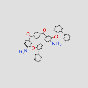 Nc1ccc(C(=O)c2ccc(C(=O)c3ccc(N)c(Oc4ccccc4-c4ccccc4)c3)cc2)cc1Oc1ccccc1-c1ccccc1